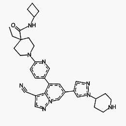 CCC1(C(=O)NC2CCC2)CCN(c2ccc(-c3cc(-c4cnn(C5CCNCC5)c4)cn4ncc(C#N)c34)cn2)CC1